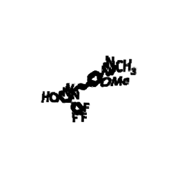 COc1cc(C=Cc2nc3n(n2)C[C@@H](O)C[C@H]3c2cc(F)c(F)c(F)c2)ccc1-n1cnc(C)c1